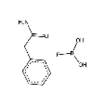 NC(=O)Cc1ccccc1.OB(O)F